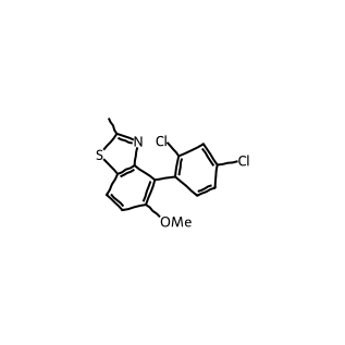 COc1ccc2sc(C)nc2c1-c1ccc(Cl)cc1Cl